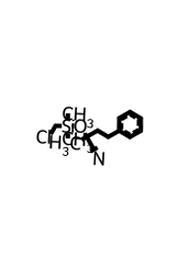 CC(C#N)(CCc1ccccc1)O[Si](C)(C)CCl